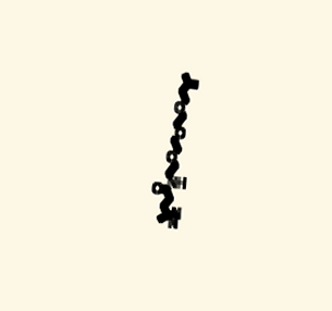 C=C(C)CCOCCOCCOCCNC(=O)CCC1(C)N=N1